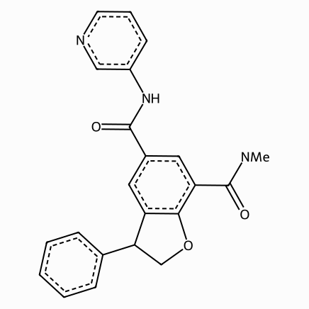 CNC(=O)c1cc(C(=O)Nc2cccnc2)cc2c1OCC2c1ccccc1